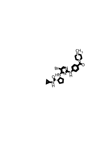 CN1CCN(C(=O)c2ccc(Nc3ncc(Br)c(N[C@@H]4CCC[C@@H]4C(=O)NC4CC4)n3)cc2)CC1